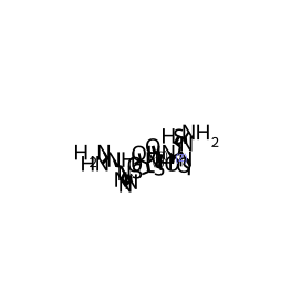 CCO/N=C(\C(=O)N[C@@H]1C(=O)N2C(C(=O)O)=C(CSc3nnnn3CCNC(=N)N)CS[C@@H]12)c1csc(N)n1